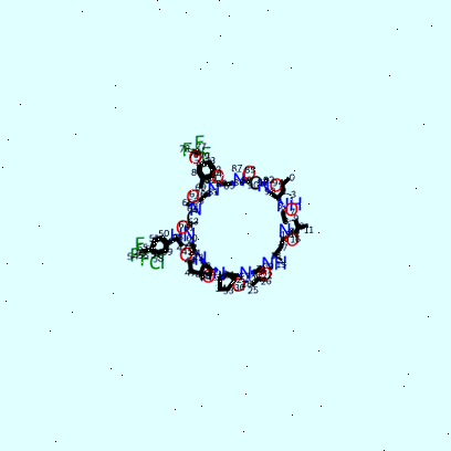 CC[C@H](C)[C@@H]1NC(=O)[C@H](CC(C)C)N(C)C(=O)C[C@@H](C)NC(=O)[C@H](C(C)C)N(C)C(=O)C2(CCCC2)NC(=O)[C@@H]2CCCN2C(=O)[C@H](CCc2ccc(C(F)(F)F)c(Cl)c2)NC(=O)CN(C)C(=O)[C@H](Cc2cccc(OC(F)(F)F)c2)N(C)C(=O)CN(C)C(=O)CN(C)C1=O